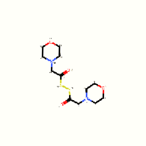 O=C(CN1CCOCC1)SSC(=O)CN1CCOCC1